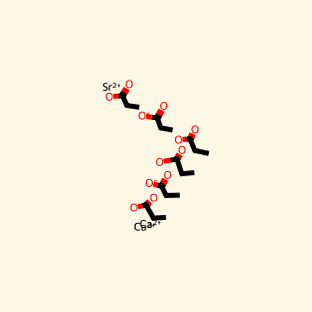 CCC(=O)[O-].CCC(=O)[O-].CCC(=O)[O-].CCC(=O)[O-].CCC(=O)[O-].CCC(=O)[O-].[Ca+2].[Ca+2].[Sr+2]